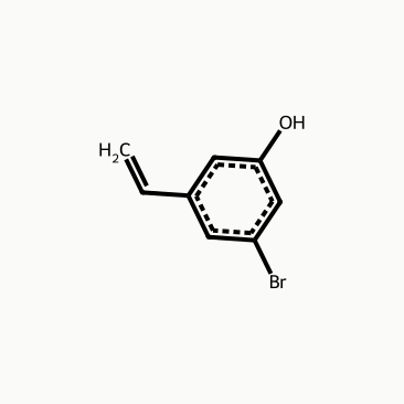 C=Cc1cc(O)cc(Br)c1